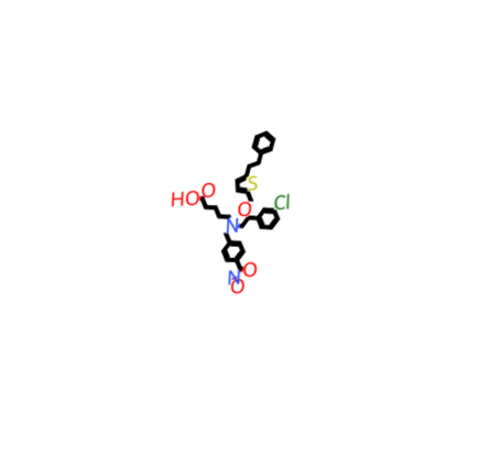 O=NC(=O)c1ccc(CN(CCCCC(=O)O)CC(OCc2ccc(CCc3ccccc3)s2)c2cccc(Cl)c2)cc1